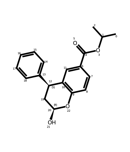 CC(C)OC(=O)c1ccc2c(c1)[C@H](c1ccccc1)C[C@H](O)O2